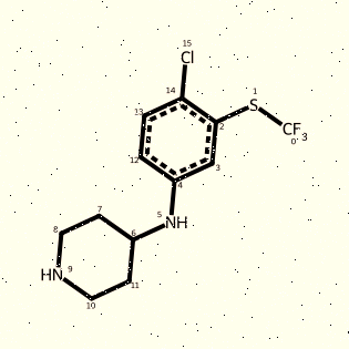 FC(F)(F)Sc1cc(NC2CCNCC2)ccc1Cl